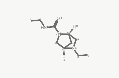 CCNC(=O)N1C[C@@H]2C[C@H]1CN2CC